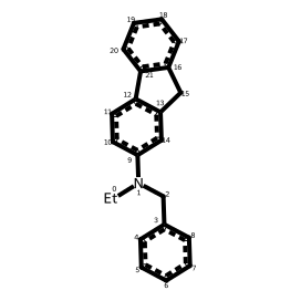 CCN(Cc1ccccc1)c1ccc2c(c1)Cc1ccccc1-2